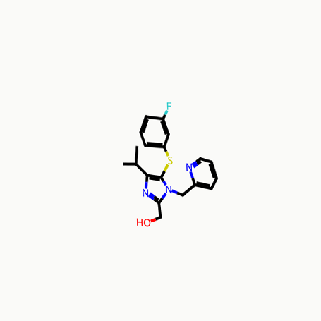 CC(C)c1nc(CO)n(Cc2ccccn2)c1Sc1cccc(F)c1